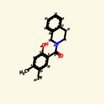 Cc1cc(O)c(C(=O)N2CCc3ccccc3C2)cc1C(C)C